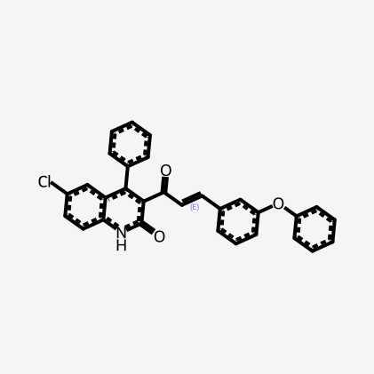 O=C(/C=C/c1cccc(Oc2ccccc2)c1)c1c(-c2ccccc2)c2cc(Cl)ccc2[nH]c1=O